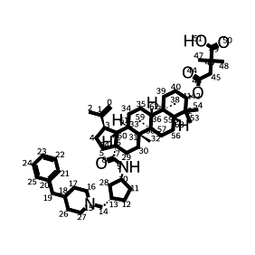 C=C(C)[C@@H]1CC[C@]2(C(=O)N[C@@H]3CC[C@H](CN4CCC(Cc5ccccc5)CC4)C3)CC[C@]3(C)[C@H](CC[C@@H]4[C@@]5(C)CC[C@H](OC(=O)CC(C)(C)C(=O)O)C(C)(C)[C@@H]5CC[C@]43C)[C@@H]12